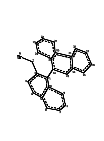 BrCc1ccc2ccccc2c1-c1cc2ccccc2c2ccccc12